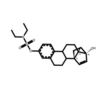 CCN(CC)S(=O)(=O)Oc1ccc2c(c1)CCC1C2CC[C@@]2(C)[C@]13C=C[C@]2(O)CC3